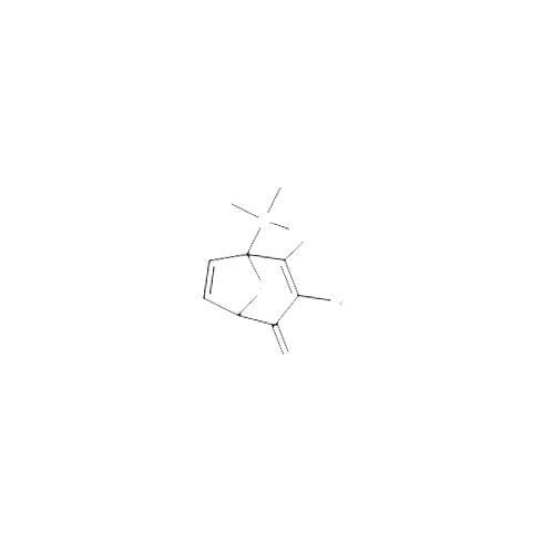 CC1=C(Br)C(=O)C2C=CC1([Si](C)(C)C)O2